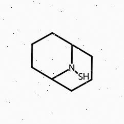 SN1C2CCCC1CCC2